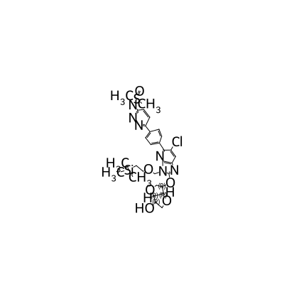 C[Si](C)(C)CCOCn1c(O[C@@H]2CO[C@H]3[C@@H]2OC[C@H]3O)nc2cc(Cl)c(-c3ccc(-c4ccc(N=S(C)(C)=O)nn4)cc3)nc21